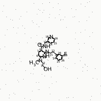 CN(CCO)c1ccc(C(=O)NCc2cccnc2)c(NCCc2cccc(F)c2)n1